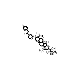 C[C@@H]1CC([C@H](O)C(C)(C)O)OC2C1[C@@]1(C)CCC34C[C@@]35CC[C@H](OC3CN(C(=O)Cc6ccc(F)cc6)CCO3)C(C)(C)C5CC[C@H]4C1(C)[C@H]2O